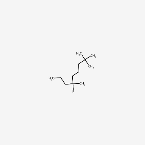 CCCC(C)(F)CCCC(C)(C)C